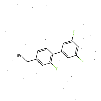 CC(C)Cc1ccc(-c2cc(F)cc(F)c2)c(F)c1